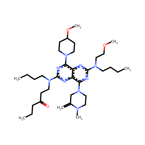 C=C1CN(c2nc(N(CCCC)CCOC)nc3c(N4CCC(OC)CC4)nc(N(CCCC)CCC(=O)CCC)nc23)CCN1C